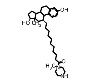 C[C@]12C[C@H](CCCCCCCCCCC(=O)[N+]3(C)CCNCC3)C3c4ccc(O)cc4CCC3C1CC[C@@H]2O